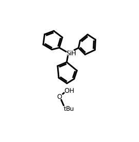 CC(C)(C)OO.c1ccc([SiH](c2ccccc2)c2ccccc2)cc1